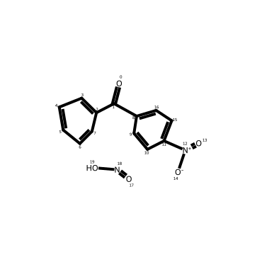 O=C(c1ccccc1)c1ccc([N+](=O)[O-])cc1.O=NO